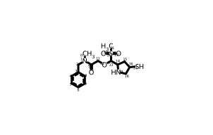 CN(Cc1ccccc1)C(=O)COC(C1CC(S)CN1)S(C)(=O)=O